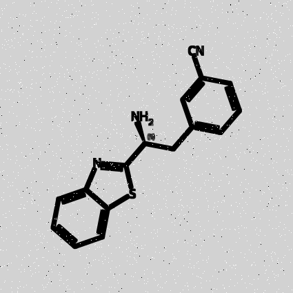 N#Cc1cccc(C[C@H](N)c2nc3ccccc3s2)c1